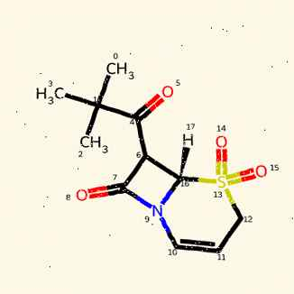 CC(C)(C)C(=O)C1C(=O)N2C=CCS(=O)(=O)[C@@H]12